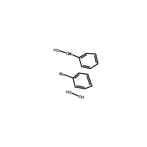 CC(C)c1ccccc1.CCC(C)c1ccccc1.OO.OO